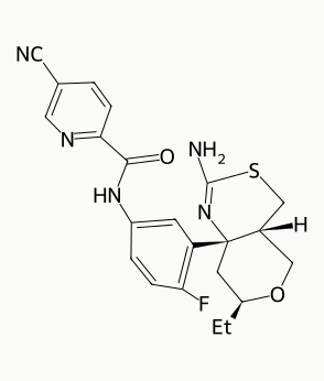 CC[C@H]1C[C@]2(c3cc(NC(=O)c4ccc(C#N)cn4)ccc3F)N=C(N)SC[C@@H]2CO1